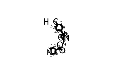 Cc1ccc(-c2nnc(COC(=O)c3ccncc3)o2)cc1